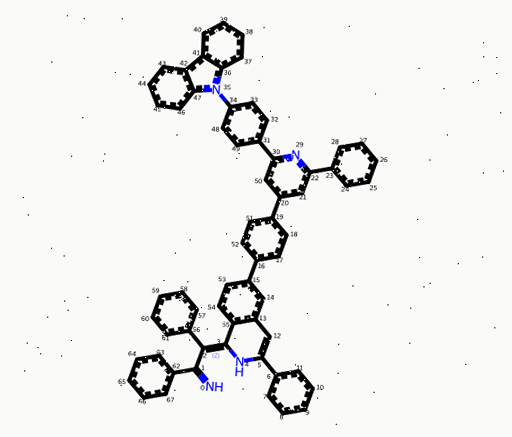 N=C(/C(=C1\NC(c2ccccc2)=Cc2cc(-c3ccc(-c4cc(-c5ccccc5)nc(-c5ccc(-n6c7ccccc7c7ccccc76)cc5)c4)cc3)ccc21)c1ccccc1)c1ccccc1